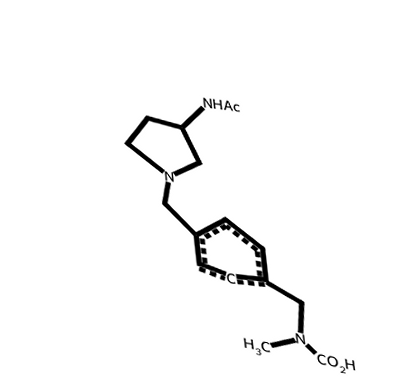 CC(=O)NC1CCN(Cc2ccc(CN(C)C(=O)O)cc2)C1